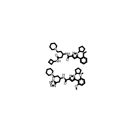 CCc1ccccc1-c1cc(C(=O)NC(CCN2CCCCC2)CC(=O)NC2CCC2)nn1C1CCCC1.COc1cccc(OC)c1-c1cc(C(=O)NC(CCN2CCCCC2)Cc2nnn[nH]2)nn1C1CCCC1